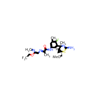 C=N/C(=C\N=C(/C)C(=O)Nc1cc(C)c(F)c([C@@]2(C)N=C(N)S[C@@]3(COC)C[C@H]32)c1)OCC(F)(F)F